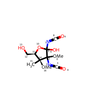 COC1(N=C=O)C(O)(N=C=O)O[C@H](CO)[C@]1(C)OC